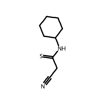 N#CCC(=S)NC1CCCCC1